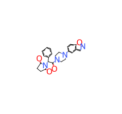 O=C(C(c1ccccc1)N1C(=O)CCC1=O)N1CCN(c2ccc3oncc3c2)CC1